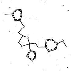 COc1ccc(CCC2(n3ccnc3)OCC(COc3cccc(C)c3)O2)cc1